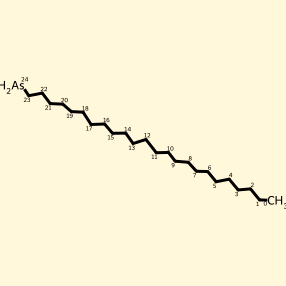 CCCCCCCCCCCCCCCCCCCCCCCC[AsH2]